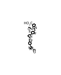 O=C(O)c1ccc2nc(Cc3cc(F)c(-c4cccc(OCc5ccc(-c6cn(C7CCOC7)nn6)cc5F)n4)cc3F)n(CC3CCO3)c2c1